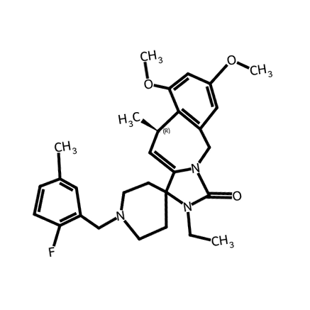 CCN1C(=O)N2Cc3cc(OC)cc(OC)c3[C@H](C)C=C2C12CCN(Cc1cc(C)ccc1F)CC2